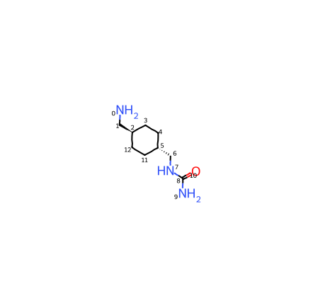 NC[C@H]1CC[C@H](CNC(N)=O)CC1